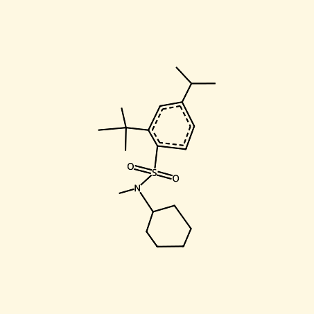 CC(C)c1ccc(S(=O)(=O)N(C)C2CCCCC2)c(C(C)(C)C)c1